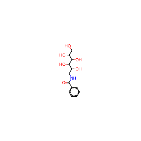 O=C(NCC(O)C(O)C(O)C(O)CO)c1ccccc1